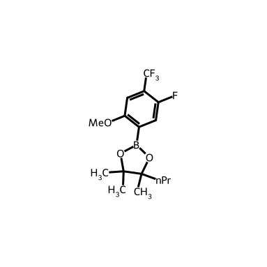 CCCC1(C)OB(c2cc(F)c(C(F)(F)F)cc2OC)OC1(C)C